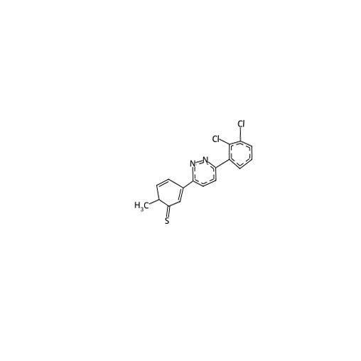 CC1C=CC(c2ccc(-c3cccc(Cl)c3Cl)nn2)=CC1=S